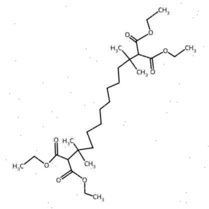 CCOC(=O)C(C(=O)OCC)C(C)(C)CCCCCCCCC(C)(C)C(C(=O)OCC)C(=O)OCC